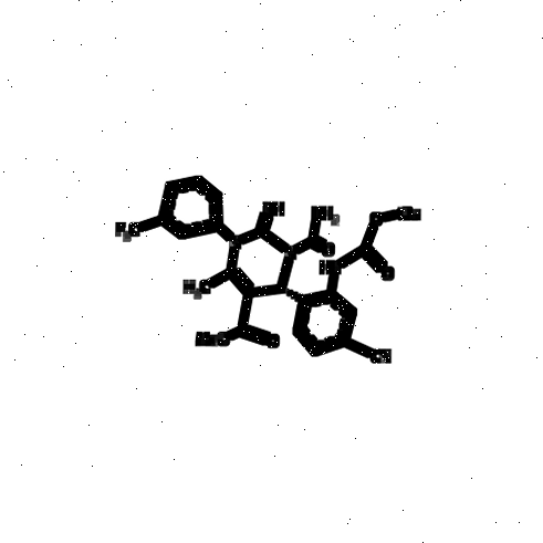 COC(=O)C1=C(C)N(c2cccc(C(F)(F)F)c2)C(=N)N(C(N)=O)[C@@H]1c1ccc(C#N)cc1NC(=O)OC(C)(C)C